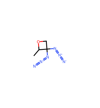 CC1OCC1(N=[N+]=[N-])N=[N+]=[N-]